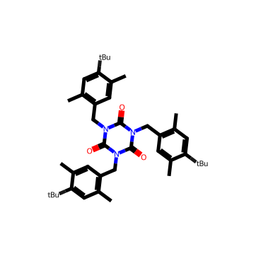 Cc1cc(C(C)(C)C)c(C)cc1Cn1c(=O)n(Cc2cc(C)c(C(C)(C)C)cc2C)c(=O)n(Cc2cc(C)c(C(C)(C)C)cc2C)c1=O